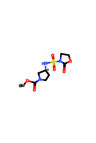 CC(C)(C)OC(=O)N1CC[C@@H](NS(=O)(=O)N2CCOC2=O)C1